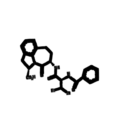 CCC(CC)[C@H](NC(=O)c1ccccc1)C(=O)N[C@H]1CCc2cccc3c2N(C1=O)[C@H](C(=O)O)C3